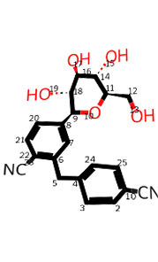 N#Cc1ccc(Cc2cc([C@@H]3O[C@H](CO)[C@@H](O)[C@H](O)[C@H]3O)ccc2C#N)cc1